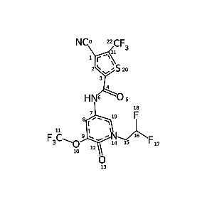 N#Cc1cc(C(=O)Nc2cc(OC(F)(F)F)c(=O)n(CC(F)F)c2)sc1C(F)(F)F